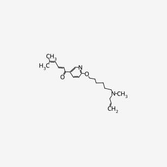 C=CCN(C)CCCCCCOc1ccc(C(=O)C=CC=C(C)C)cn1